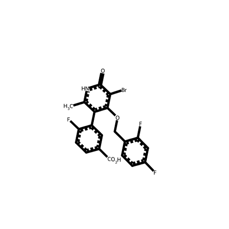 Cc1[nH]c(=O)c(Br)c(OCc2ccc(F)cc2F)c1-c1cc(C(=O)O)ccc1F